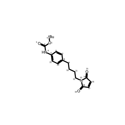 CC(C)(C)OC(=O)Nc1ccc(CCCCN2C(=O)C=CC2=O)cc1